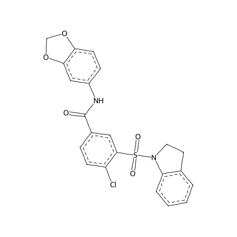 O=C(Nc1ccc2c(c1)OCO2)c1ccc(Cl)c(S(=O)(=O)N2CCc3ccccc32)c1